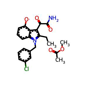 CCc1c(C(=O)C(N)=O)c2c([O])cccc2n1Cc1cccc(Cl)c1.COC(C)=O